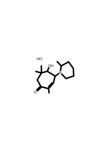 CC1=CC(N2CCCCC2C)C(O)C(C)(C)CC1=O.Cl